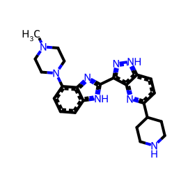 CN1CCN(c2cccc3[nH]c(-c4n[nH]c5ccc(C6CCNCC6)nc45)nc23)CC1